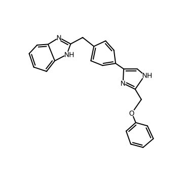 c1ccc(OCc2nc(-c3ccc(Cc4nc5ccccc5[nH]4)cc3)c[nH]2)cc1